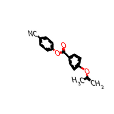 C=C(C)Oc1ccc(C(=O)Oc2ccc(C#N)cc2)cc1